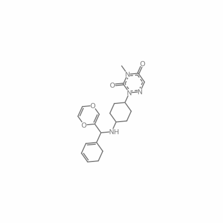 Cn1c(=O)cnn(C2CCC(NC(C3=CC=CCC3)C3=COC=CO3)CC2)c1=O